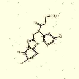 CCOC(=O)CCC(=O)N(Cc1nc2ccc(F)c(F)c2s1)c1cccc(Cl)c1